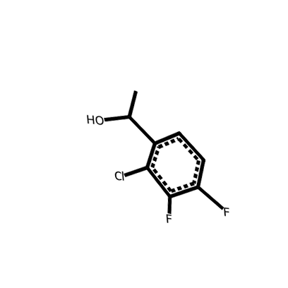 CC(O)c1ccc(F)c(F)c1Cl